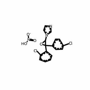 Clc1ccc(C2(c3ccccc3Cl)OC2n2ccnc2)cc1.O=[N+]([O-])O